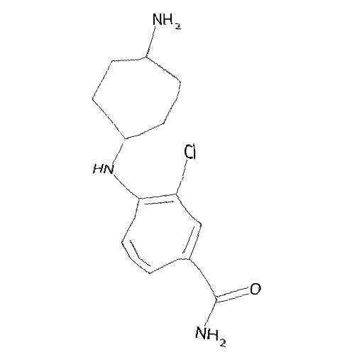 NC(=O)c1ccc(NC2CCC(N)CC2)c(Cl)c1